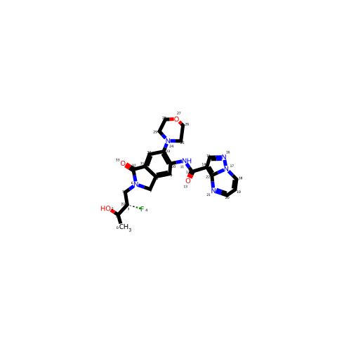 CC(O)[C@@H](F)CN1Cc2cc(NC(=O)c3cnn4cccnc34)c(N3CCOCC3)cc2C1=O